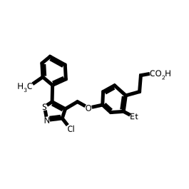 CCc1cc(OCc2c(Cl)nsc2-c2ccccc2C)ccc1CCC(=O)O